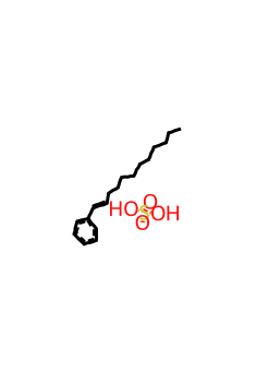 CCCCCCCCCCC=Cc1ccccc1.O=S(=O)(O)O